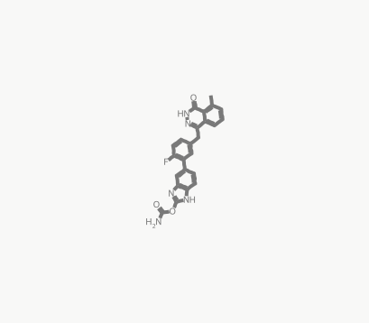 Cc1cccc2c(Cc3ccc(F)c(-c4ccc5[nH]c(OC(N)=O)nc5c4)c3)n[nH]c(=O)c12